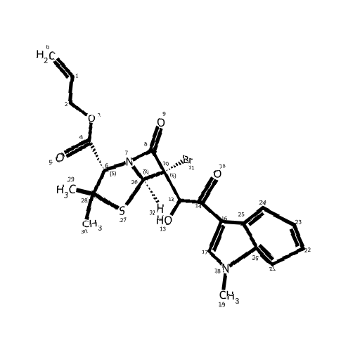 C=CCOC(=O)[C@@H]1N2C(=O)[C@@](Br)(C(O)C(=O)c3cn(C)c4ccccc34)[C@H]2SC1(C)C